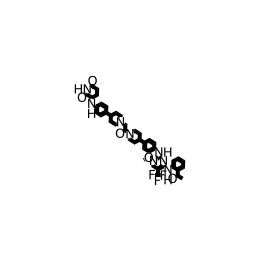 COc1cc(C2CCN(C(=O)CN3CCC(c4ccc(NC5CCC(=O)NC5=O)cc4)CC3)CC2)ccc1Nc1ncc(C(F)(F)F)c(Nc2ccccc2C(C)=O)n1